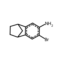 Nc1cc2c(cc1Br)C1CCC2C1